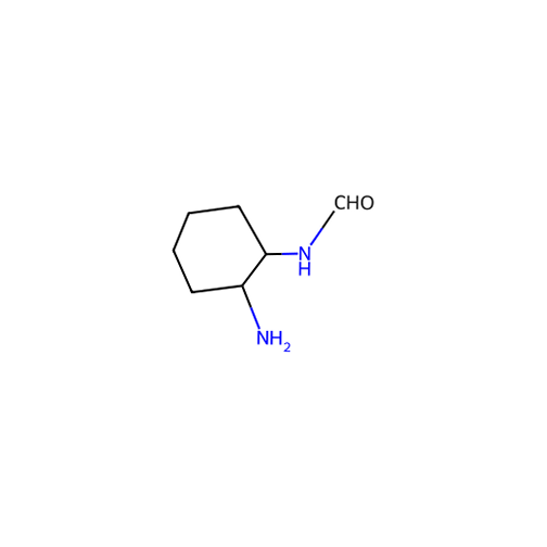 NC1CCCCC1NC=O